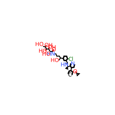 O=C(NCCCC(CO)c1ccc(Cl)c(CNC2(c3cnccc3-c3ccccc3OC3CC3)CC2)c1)C(O)C(O)C(O)C(O)CO